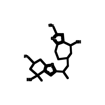 CC(CC1CCc2oc(C(C)(C)C)cc2C(O)C1)c1cc2c(o1)CC(C(C)C)CC2(C)O